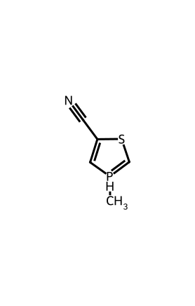 C[PH]1=CSC(C#N)=C1